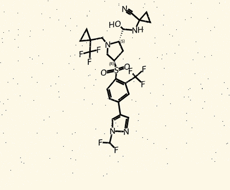 N#CC1(NC(O)[C@@H]2C[C@@H](S(=O)(=O)c3ccc(-c4cnn(C(F)F)c4)cc3C(F)(F)F)CN2CC2(C(F)(F)F)CC2)CC1